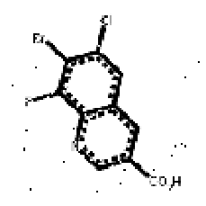 O=C(O)c1cnc2c(F)c(Br)c(Cl)cc2c1